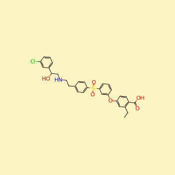 CCc1cc(Oc2cccc(S(=O)(=O)c3ccc(CCNCC(O)c4cccc(Cl)c4)cc3)c2)ccc1C(=O)O